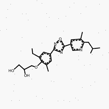 CCc1cc(-c2noc(-c3cnc(CC(C)C)c(C)c3)n2)cc(C)c1OCC(O)CO